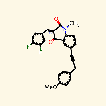 COc1ccc(CC#Cc2ccc3c(c2)C(=O)/C(=C\c2ccc(F)c(F)c2)C(=O)N3C)cc1